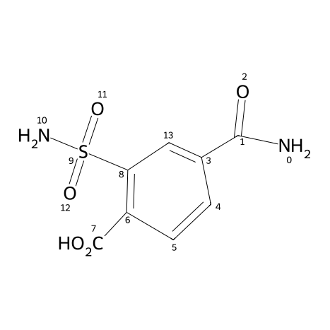 NC(=O)c1ccc(C(=O)O)c(S(N)(=O)=O)c1